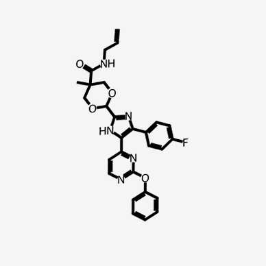 C=CCNC(=O)C1(C)COC(c2nc(-c3ccc(F)cc3)c(-c3ccnc(Oc4ccccc4)n3)[nH]2)OC1